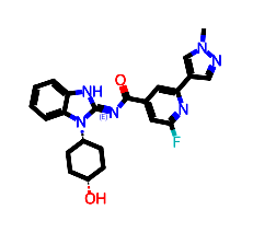 Cn1cc(-c2cc(C(=O)/N=c3\[nH]c4ccccc4n3[C@H]3CC[C@@H](O)CC3)cc(F)n2)cn1